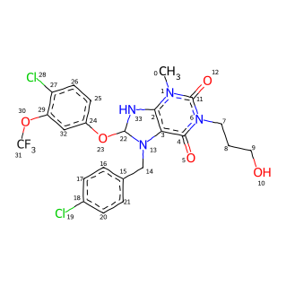 Cn1c2c(c(=O)n(CCCO)c1=O)N(Cc1ccc(Cl)cc1)C(Oc1ccc(Cl)c(OC(F)(F)F)c1)N2